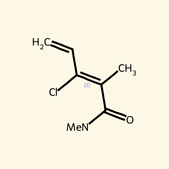 C=C/C(Cl)=C(\C)C(=O)NC